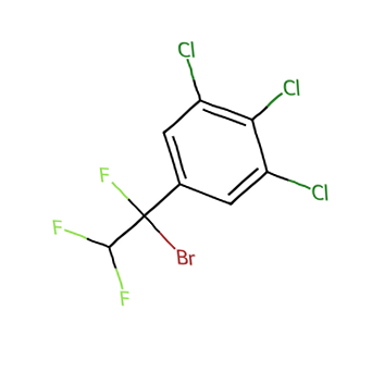 FC(F)C(F)(Br)c1cc(Cl)c(Cl)c(Cl)c1